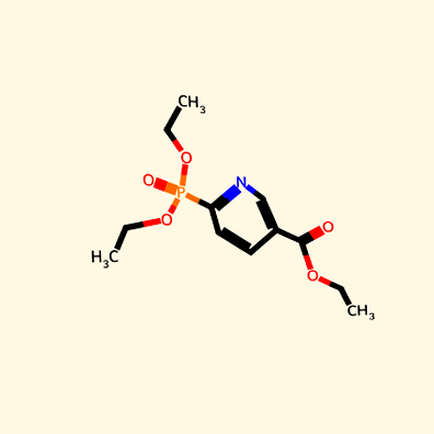 CCOC(=O)c1ccc(P(=O)(OCC)OCC)nc1